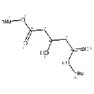 CCCCOC(=O)CC(O)CC(=O)OCCCC